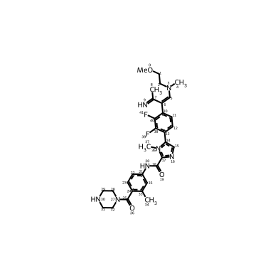 COCCN(C)/C=C(\C(C)=N)c1ccc(-c2cnc(C(=O)Nc3ccc(C(=O)N4CCNCC4)c(C)c3)n2C)c(F)c1F